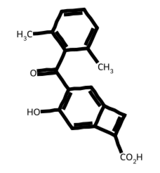 Cc1cccc(C)c1C(=O)c1cc2c(cc1O)C(C(=O)O)=C2